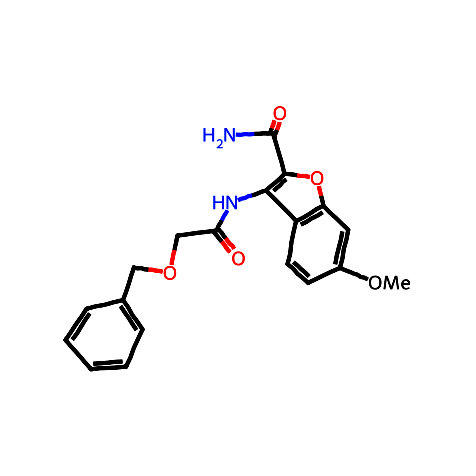 COc1ccc2c(NC(=O)COCc3ccccc3)c(C(N)=O)oc2c1